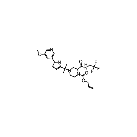 C=CCOC(=O)N1CCN(C(C)(C)c2csc(-c3cncc(OC)c3)n2)C[C@H]1C(=O)NCC(F)(F)F